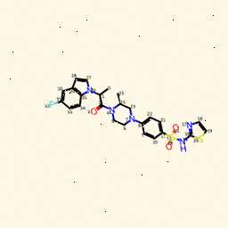 CC(C(=O)N1CCN(c2ccc(S(=O)(=O)Nc3nccs3)cc2)C[C@@H]1C)n1ccc2cc(F)ccc21